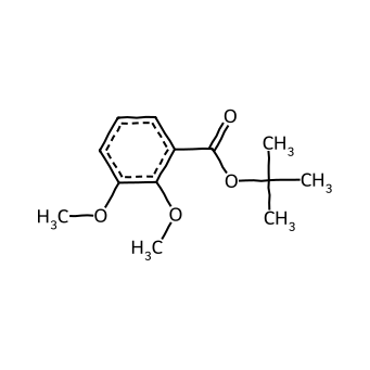 COc1cccc(C(=O)OC(C)(C)C)c1OC